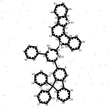 c1ccc(-c2cc(-c3ccc4c(c3)C(c3ccccc3)(c3ccccc3)c3ccccc3-4)nc(-n3c4ccccc4c4c5sc6ccccc6c5ccc43)n2)cc1